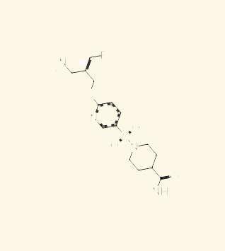 NC/C(=C/F)COc1ccc(S(=O)(=O)N2CCC(C(N)=O)CC2)cn1